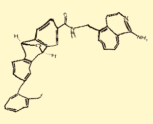 Nc1nccc2c(CNC(=O)c3ccc4c(c3)[C@@H]3O[C@H]4c4ccc(-c5ccccc5F)cc43)cccc12